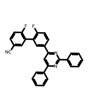 N#Cc1ccc(F)c(-c2cc(-c3cc(-c4ccccc4)nc(-c4ccccc4)n3)ccc2F)c1